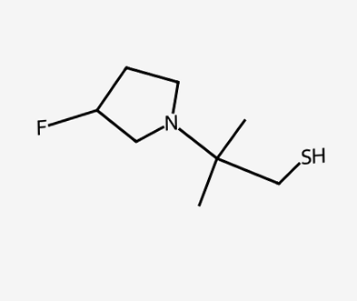 CC(C)(CS)N1CCC(F)C1